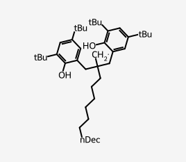 [CH2]C(CCCCCCCCCCCCCCCC)(Cc1cc(C(C)(C)C)cc(C(C)(C)C)c1O)Cc1cc(C(C)(C)C)cc(C(C)(C)C)c1O